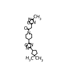 Cc1noc(CC(=O)N2CCC(c3nc(C4CCC(C)(C)C4)no3)CC2)n1